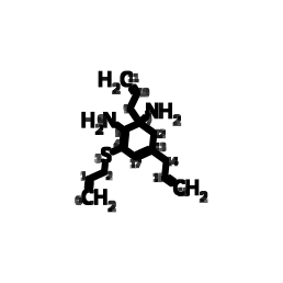 C=CCSC1=C(N)C(N)(CC=C)CC(CC=C)=C1